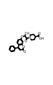 CC(Oc1ccc2c(-c3ccccc3)cc(=O)oc2c1)C(=O)N1CCC(C(=O)O)CC1